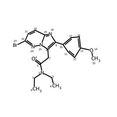 CCN(CC)C(=O)Cc1c(-c2ccc(OC)cc2)nc2ccc(Br)nn12